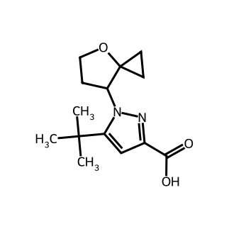 CC(C)(C)c1cc(C(=O)O)nn1C1CCOC12CC2